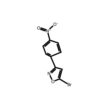 O=[N+]([O-])c1ccc(-c2cc(Br)on2)cc1